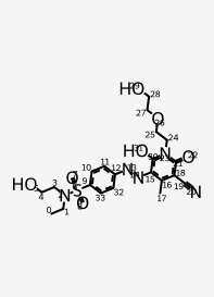 CCN(CCO)S(=O)(=O)c1ccc(/N=N/c2c(C)c(C#N)c(=O)n(CCOCCO)c2O)cc1